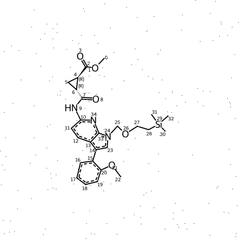 COC(=O)[C@@H]1C[C@H]1C(=O)Nc1ccc2c(-c3ccccc3OC)cn(COCC[Si](C)(C)C)c2n1